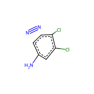 N#N.Nc1ccc(Cl)c(Cl)c1